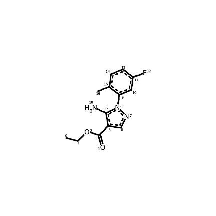 CCOC(=O)c1cnn(-c2cc(F)ccc2C)c1N